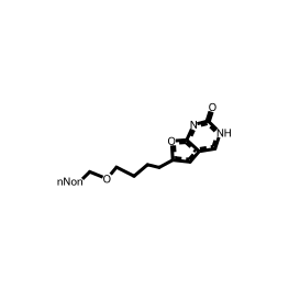 CCCCCCCCCCOCCCCc1cc2c[nH]c(=O)nc2o1